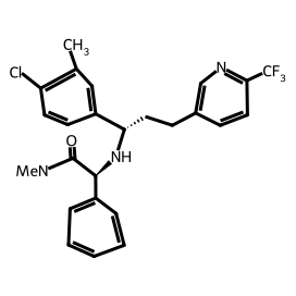 CNC(=O)[C@@H](N[C@@H](CCc1ccc(C(F)(F)F)nc1)c1ccc(Cl)c(C)c1)c1ccccc1